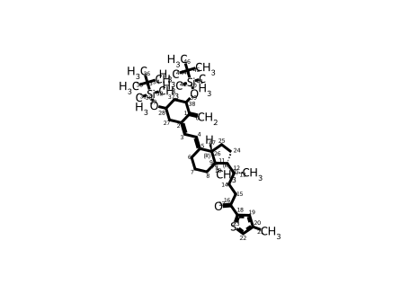 C=C1C(=CC=C2CCC[C@]3(C)[C@@H]([C@H](C)CCC(=O)c4cc(C)cs4)CC[C@@H]23)CC(O[Si](C)(C)C(C)(C)C)CC1O[Si](C)(C)C(C)(C)C